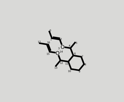 CC=COC(C)C1CCCCC1C(C)OC=CC